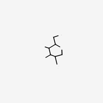 CC1C(CO)OCC(O)C1O